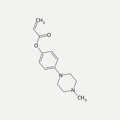 C=CC(=O)Oc1ccc(N2CCN(C)CC2)cc1